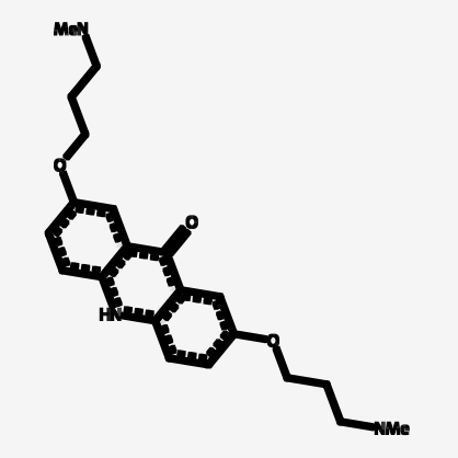 CNCCCOc1ccc2[nH]c3ccc(OCCCNC)cc3c(=O)c2c1